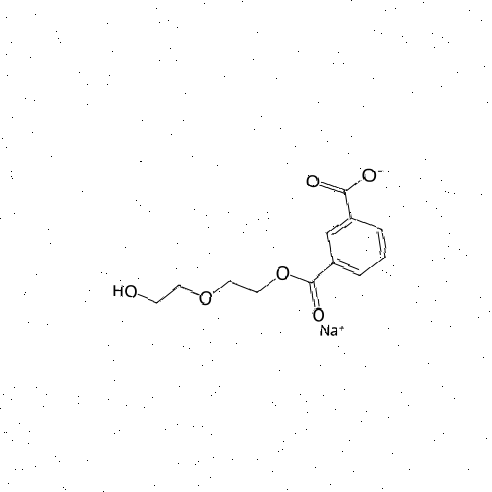 O=C([O-])c1cccc(C(=O)OCCOCCO)c1.[Na+]